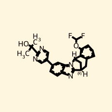 CC(C)(O)c1ncc(-c2ccc3nc4n(c3c2)[C@H]2C[C@H]4Cc3cccc(OC(F)F)c32)cn1